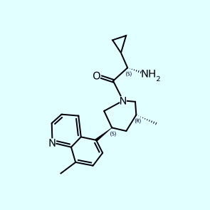 Cc1ccc([C@@H]2C[C@@H](C)CN(C(=O)[C@@H](N)C3CC3)C2)c2cccnc12